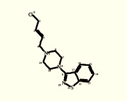 ClC/C=C/CN1CCN(c2nsc3ccccc23)CC1